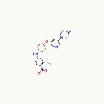 O=[N+]([O-])c1ccc(N[C@H]2CC[C@H](Oc3cncc(N4CCNCC4)c3)CC2)cc1C(F)(F)F